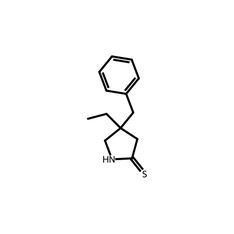 CCC1(Cc2ccccc2)CNC(=S)C1